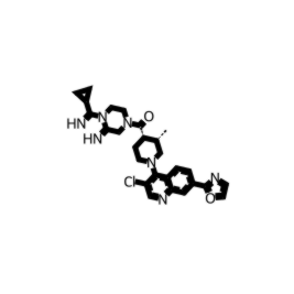 C[C@@H]1CN(c2c(Cl)cnc3cc(-c4ncco4)ccc23)CC[C@@H]1C(=O)N1CCN(C(=N)C2CC2)C(=N)C1